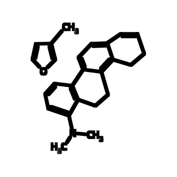 CN(C)c1cccc2c1CCc1c-2ccc2c1CCC=C2.Cc1ccoc1